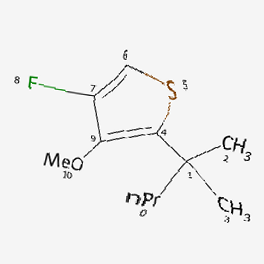 CCCC(C)(C)c1scc(F)c1OC